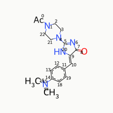 CC(=O)N1CCN(C2=NC(=O)C(=Cc3ccc(N(C)C)cc3)N2)CC1